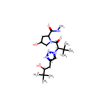 CNC(=O)C1CC(O)CN1C(=O)C(n1cc(CC(O)C(C)(C)C)nn1)C(C)(C)C